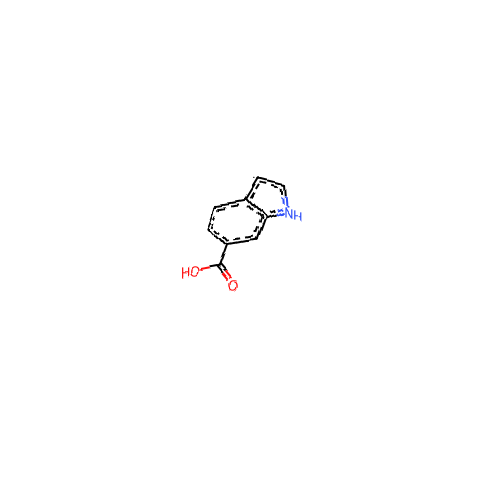 O=C(O)c1ccc2[c]c[nH]c2c1